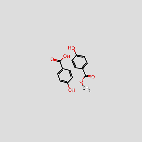 COC(=O)c1ccc(O)cc1.O=C(O)c1ccc(O)cc1